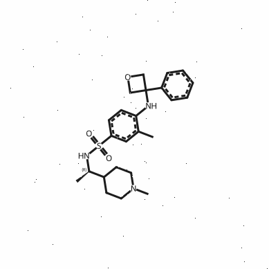 Cc1cc(S(=O)(=O)N[C@H](C)C2CCN(C)CC2)ccc1NC1(c2ccccc2)COC1